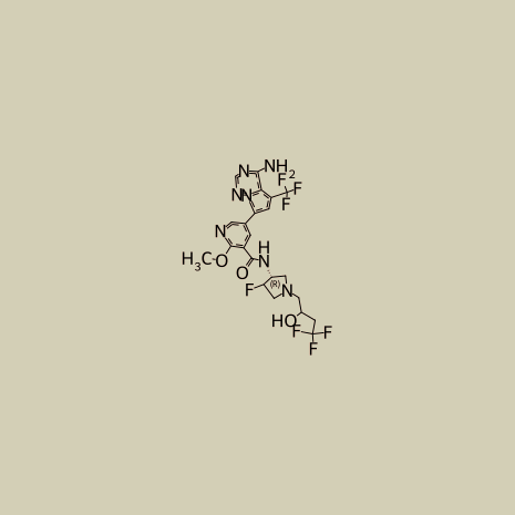 COc1ncc(-c2cc(C(F)(F)F)c3c(N)ncnn23)cc1C(=O)N[C@@H]1CN(CC(O)CC(F)(F)F)CC1F